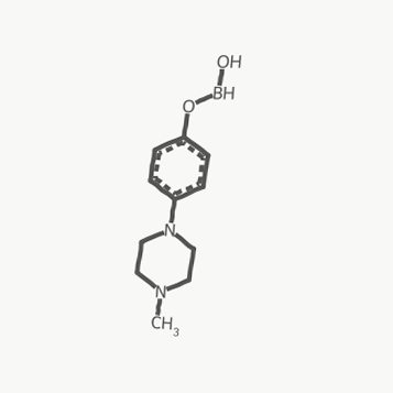 CN1CCN(c2ccc(OBO)cc2)CC1